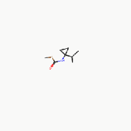 CSC(=O)NC1(C(C)C)CC1